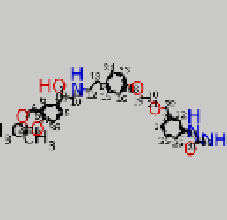 CC1(C)OCc2cc([C@@H](O)CNCCc3ccc(OCCOCc4cccc(NC(N)=O)c4)cc3)ccc2O1